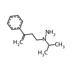 C=C(CCN(N)C(C)C)c1ccccc1